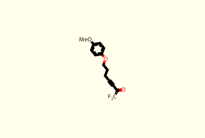 COc1ccc(OCCCC#CC(=O)C(F)(F)F)cc1